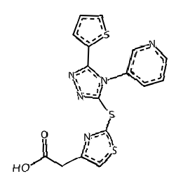 O=C(O)Cc1csc(Sc2nnc(-c3cccs3)n2-c2cccnc2)n1